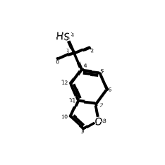 CC(C)(S)C1=CCC2OC=CC2=C1